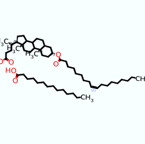 CCCCCCCC/C=C\CCCCCCCC(=O)O[C@@H]1CC[C@@]2(C)C(CCC3C2CC[C@@]2(C)C3CC[C@@H]2[C@H](C)CCC(=O)O)C1.CCCCCCCCCCCCCC(=O)O